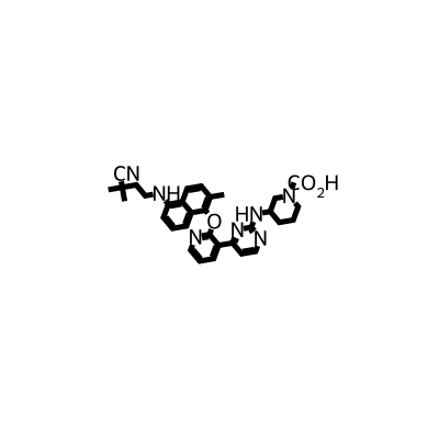 Cc1ccc2c(NCCC(C)(C)C#N)cccc2c1Oc1ncccc1-c1ccnc(NC2CCCN(C(=O)O)C2)n1